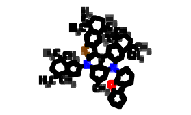 Cc1cc2c3c(c1)N(c1cccc4c1oc1ccccc14)c1cc4c(cc1B3c1c(sc3cc5c(cc13)C(C)(C)CCC5(C)C)N2c1ccc2c(c1)C(C)(C)CCC2(C)C)C(C)(C)CCC4(C)C